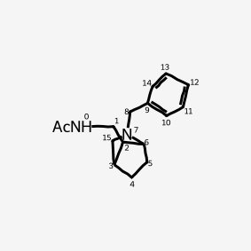 CC(=O)NCC1C2CCC1N(Cc1ccccc1)C2